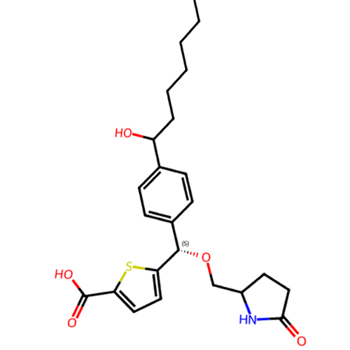 CCCCCCC(O)c1ccc([C@H](OCC2CCC(=O)N2)c2ccc(C(=O)O)s2)cc1